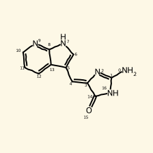 NC1=N/C(=C\c2c[nH]c3ncccc23)C(=O)N1